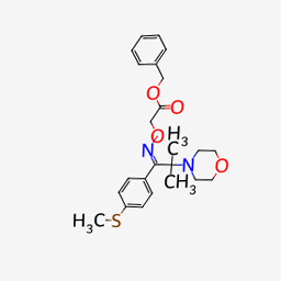 CSc1ccc(C(=NOCC(=O)OCc2ccccc2)C(C)(C)N2CCOCC2)cc1